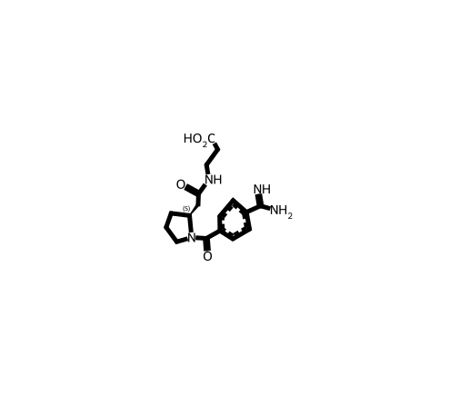 N=C(N)c1ccc(C(=O)N2CCC[C@H]2CC(=O)NCCC(=O)O)cc1